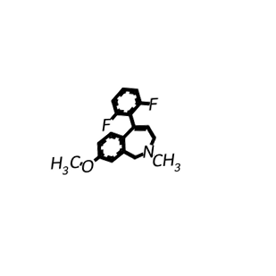 COc1ccc2c(c1)CN(C)CC=C2c1c(F)cccc1F